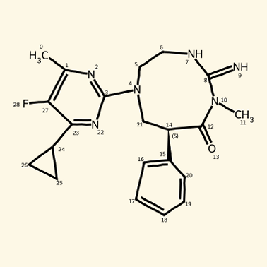 Cc1nc(N2CCNC(=N)N(C)C(=O)[C@@H](c3ccccc3)C2)nc(C2CC2)c1F